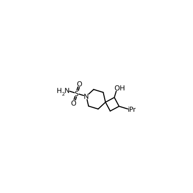 CC(C)C1CC2(CCN(S(N)(=O)=O)CC2)C1O